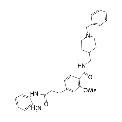 COc1cc(CCC(=O)Nc2ccccc2N)ccc1C(=O)NCC1CCN(Cc2ccccc2)CC1